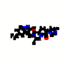 Cc1cn(-c2ccc3n(c2=O)C[C@@H](C)N(Cc2cnn4c2CC(C(F)(F)F)CC4)C3=O)cn1